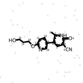 Cc1[nH]c(=O)c(C#N)cc1-c1ccc(OCCCO)nc1